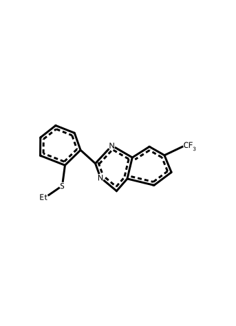 CCSc1ccccc1-c1ncc2ccc(C(F)(F)F)cc2n1